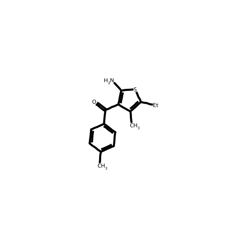 CCc1sc(N)c(C(=O)c2ccc(C)cc2)c1C